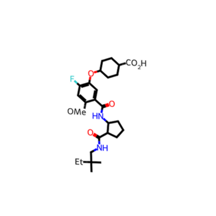 CCC(C)(C)CNC(=O)C1CCCC1NC(=O)c1cc(OC2CCC(C(=O)O)CC2)c(F)cc1OC